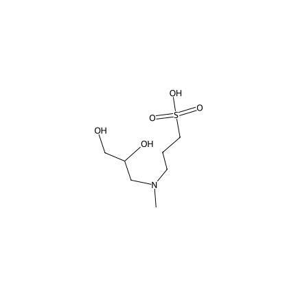 CN(CCCS(=O)(=O)O)CC(O)CO